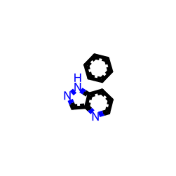 c1ccccc1.c1cnc2cn[nH]c2c1